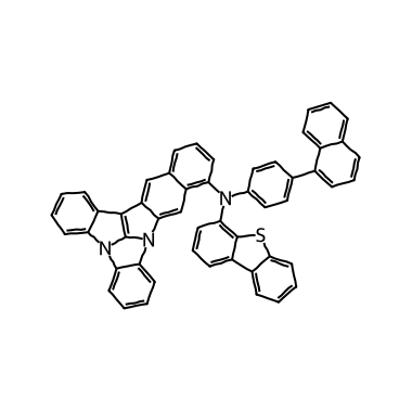 c1ccc2c(-c3ccc(N(c4cccc5cc6c7c8ccccc8n8c9ccccc9n(c6cc45)c78)c4cccc5c4sc4ccccc45)cc3)cccc2c1